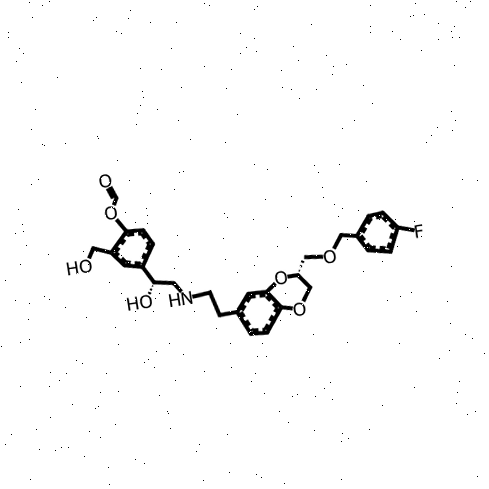 O=COc1ccc([C@@H](O)CNCCc2ccc3c(c2)O[C@H](COCc2ccc(F)cc2)CO3)cc1CO